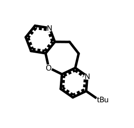 CC(C)(C)c1ccc2c(n1)CCc1ncccc1O2